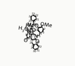 COc1ccc(CN2C[C@H]3N(C(=O)CN3N(C)C(=O)NCc3ccccc3)[C@@H](Cc3ccccc3)C2=O)cc1OC